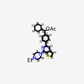 CCN1CCN(c2nc(-c3ccc(C(OC(C)=O)C4CCCCC4)cc3)cc3ccsc23)CC1